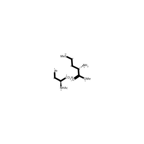 CC(=O)N[C@@H](CC(C)C)C(=O)O.COC(=O)[C@@H](N)CCSC